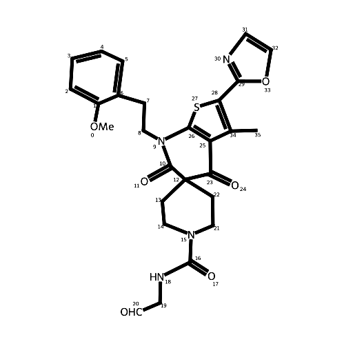 COc1ccccc1CCN1C(=O)C2(CCN(C(=O)NCC=O)CC2)C(=O)c2c1sc(-c1ncco1)c2C